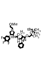 COCCN1C[C@@H](NC(=O)Nc2c(C)c(OC[C@H](C)O[Si](C)(C)C(C)(C)C)nn2-c2ccccc2)[C@H](c2cc(F)c(F)c(F)c2)C1